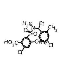 CCC(c1ccc(Cl)cc1C)N(C)S(=O)(=O)c1cc(C(=O)O)c(Cl)cc1OC